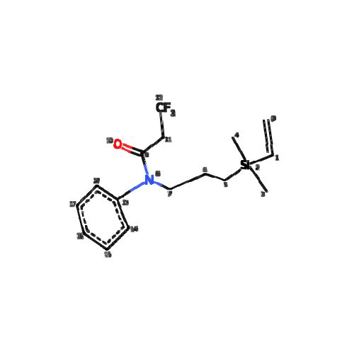 C=C[Si](C)(C)CCCN(C(=O)CC(F)(F)F)c1ccccc1